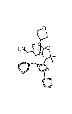 CC(C)(C)[C@H](c1nc(-c2ccccc2)cn1Cc1ccccc1)N(C[C@H](F)CN)C(=O)NC1CCOCC1